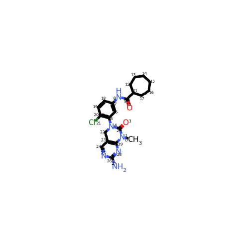 CN1C(=O)N(c2cc(NC(=O)C3CCCCCC3)ccc2Cl)Cc2cnc(N)nc21